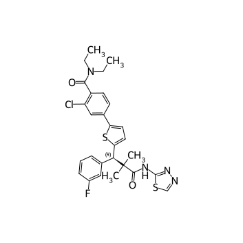 CCN(CC)C(=O)c1ccc(-c2ccc([C@H](c3cccc(F)c3)C(C)(C)C(=O)Nc3nncs3)s2)cc1Cl